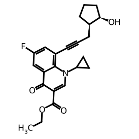 CCOC(=O)c1cn(C2CC2)c2c(C#CC[C@H]3CCC[C@H]3O)cc(F)cc2c1=O